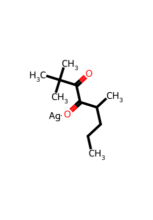 CCCC(C)C(=O)C(=O)C(C)(C)C.[Ag]